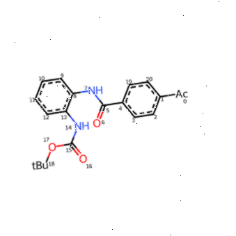 CC(=O)c1ccc(C(=O)Nc2ccccc2NC(=O)OC(C)(C)C)cc1